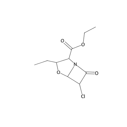 CCOC(=O)C1C(CC)OC2C(Cl)C(=O)N21